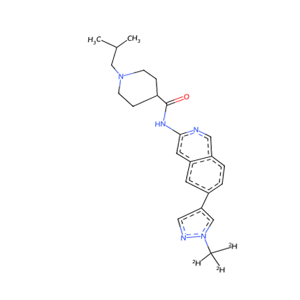 [2H]C([2H])([2H])n1cc(-c2ccc3cnc(NC(=O)C4CCN(CC(C)C)CC4)cc3c2)cn1